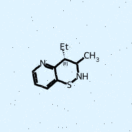 CC[C@H]1c2ncccc2SNC1C